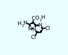 Nc1nn2c(Cl)cc(Cl)nc2c1C(=O)O